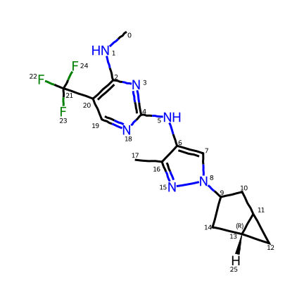 CNc1nc(Nc2cn(C3CC4C[C@@H]4C3)nc2C)ncc1C(F)(F)F